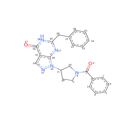 O=C(c1ccccc1)N1CCC(n2ncc3c(=O)[nH]c(Cc4ccccc4)nc32)C1